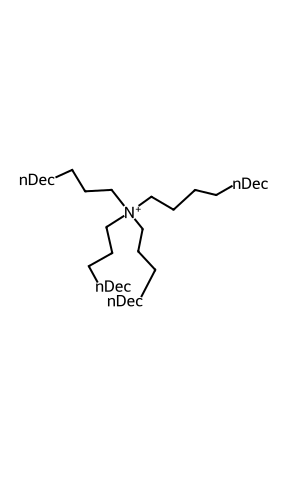 CCCCCCCCCCCCCC[N+](CCCCCCCCCCCCC)(CCCCCCCCCCCCC)CCCCCCCCCCCCC